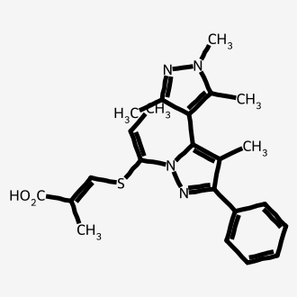 C/C=C(/S/C=C(\C)C(=O)O)n1nc(-c2ccccc2)c(C)c1-c1c(C)nn(C)c1C